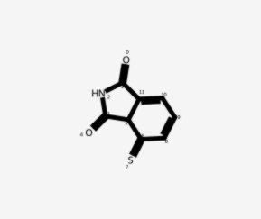 O=C1NC(=O)C2C(=S)C=CC=C12